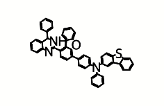 c1ccc(C2NC(c3ccc(-c4ccc(N(c5ccccc5)c5ccc6sc7ccccc7c6c5)cc4)c4oc5ccccc5c34)=Nc3ccccc32)cc1